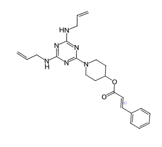 C=CCNc1nc(NCC=C)nc(N2CCC(OC(=O)/C=C/c3ccccc3)CC2)n1